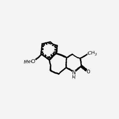 COc1cccc2c1CCC1NC(=O)C(C)CC21